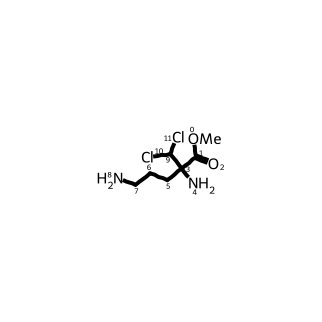 COC(=O)C(N)(CCCN)C(Cl)Cl